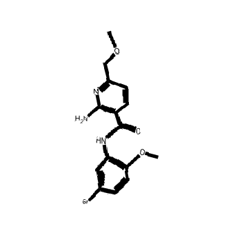 COCc1ccc(C(=O)Nc2cc(Br)ccc2OC)c(N)n1